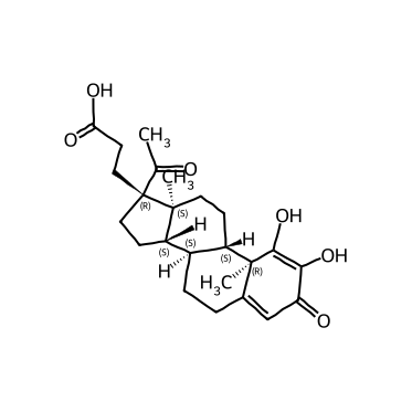 CC(=O)[C@@]1(CCC(=O)O)CC[C@H]2[C@@H]3CCC4=CC(=O)C(O)=C(O)[C@]4(C)[C@H]3CC[C@@]21C